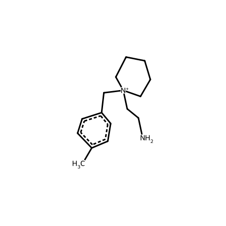 Cc1ccc(C[N+]2(CCN)CCCCC2)cc1